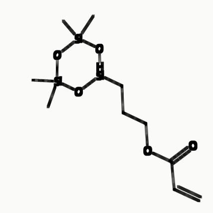 C=CC(=O)OCCC[SiH]1O[Si](C)(C)O[Si](C)(C)O1